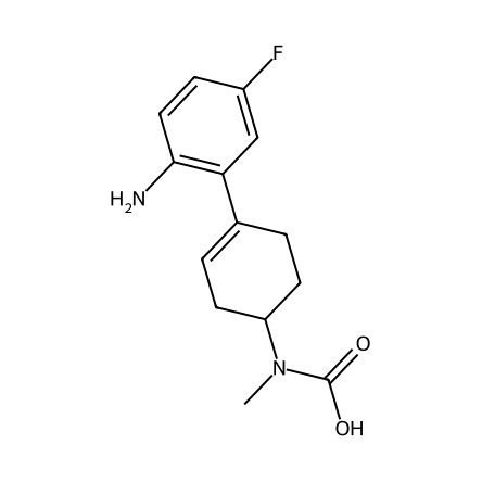 CN(C(=O)O)C1CC=C(c2cc(F)ccc2N)CC1